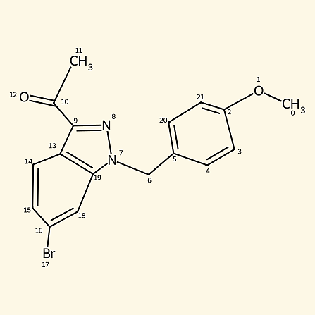 COc1ccc(Cn2nc(C(C)=O)c3ccc(Br)cc32)cc1